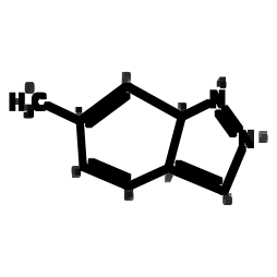 CC1=CC2N=NC=C2C=C1